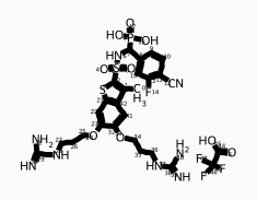 Cc1c(S(=O)(=O)NC(c2ccc(C#N)c(F)c2)P(=O)(O)O)sc2cc(OCCCNC(=N)N)c(OCCCNC(=N)N)cc12.O=C(O)C(F)(F)F